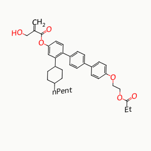 C=C(CO)C(=O)Oc1ccc(-c2ccc(-c3ccc(OCCOC(=O)CC)cc3)cc2)c(C2CCC(CCCCC)CC2)c1